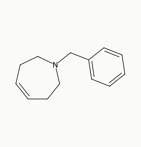 C1=CCCN(Cc2ccccc2)CC1